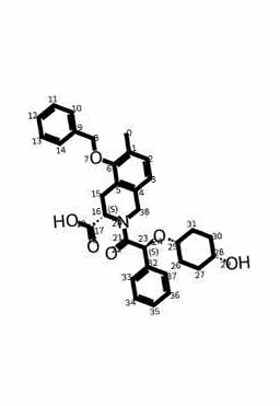 Cc1ccc2c(c1OCc1ccccc1)C[C@@H](C(=O)O)N(C(=O)[C@@H](O[C@H]1CC[C@@H](O)CC1)c1ccccc1)C2